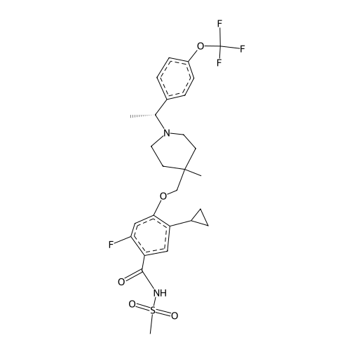 C[C@H](c1ccc(OC(F)(F)F)cc1)N1CCC(C)(COc2cc(F)c(C(=O)NS(C)(=O)=O)cc2C2CC2)CC1